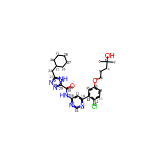 CC(C)(O)CCCOc1ccc(Cl)c(-c2cc(NC(=O)c3nnc(CC4CCCCC4)[nH]3)ncn2)c1